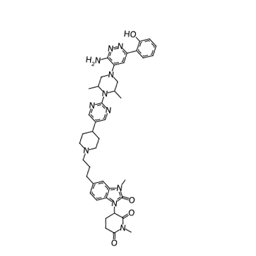 CC1CN(c2cc(-c3ccccc3O)nnc2N)CC(C)N1c1ncc(C2CCN(CCCc3ccc4c(c3)n(C)c(=O)n4C3CCC(=O)N(C)C3=O)CC2)cn1